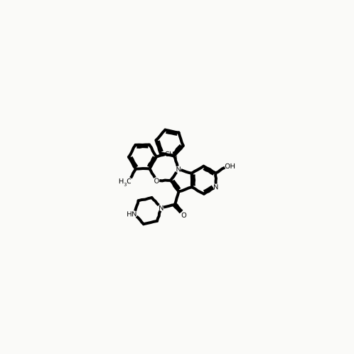 Cc1cccc(C)c1Oc1c(C(=O)N2CCNCC2)c2cnc(O)cc2n1-c1ccccc1